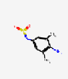 Cc1cc(N=S(=O)=O)cc(C)c1N